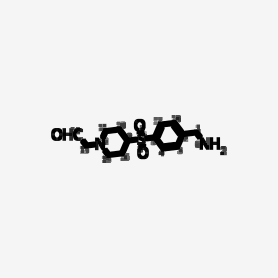 NCc1ccc(S(=O)(=O)C2CCN(CC=O)CC2)cc1